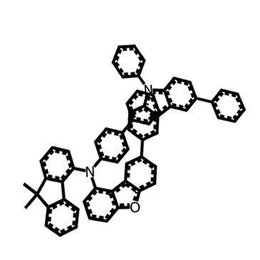 CC1(C)c2ccccc2-c2c(N(c3ccc(-c4ccccc4)cc3)c3cccc4oc5ccc(-c6ccc7c(c6)c6cc(-c8ccccc8)ccc6n7-c6ccccc6)cc5c34)cccc21